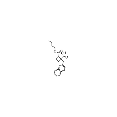 CCCCOC(=O)C1CCC1(Cc1ccc2ccccc2c1)C(=O)O